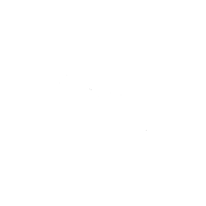 N#CCCC1OC1C(=O)NCC1CC1